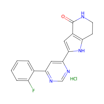 Cl.O=C1NCCc2[nH]c(-c3cc(-c4ccccc4F)ncn3)cc21